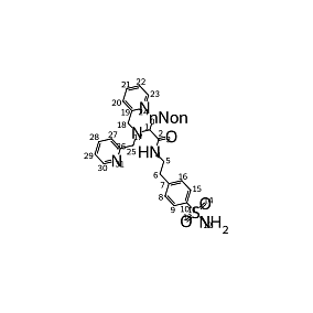 CCCCCCCCCC(C(=O)NCCc1ccc(S(N)(=O)=O)cc1)N(Cc1ccccn1)Cc1ccccn1